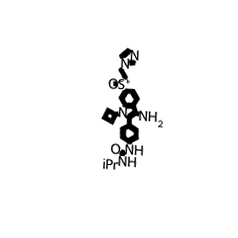 CC(C)NC(=O)Nc1ccc(-c2c(N)c3ccc([S+]([O-])CCn4ccnc4)cc3n2C2CCC2)cc1